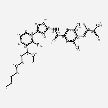 CCCCOCCC(OC)c1cccc(-c2csc(NC(=O)c3cc(Cl)c(C=C(C)C(=O)O)c(Cl)c3)n2)c1F